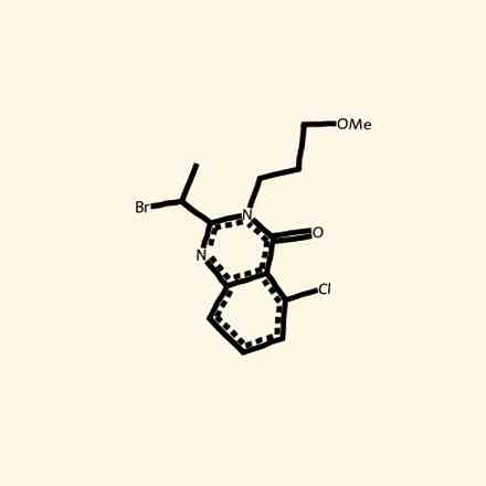 COCCCn1c(C(C)Br)nc2cccc(Cl)c2c1=O